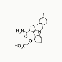 Cc1ccc(Cn2c3c(c4c(OCC(=O)O)cccc42)C(C(N)=O)CC3)c(C)c1